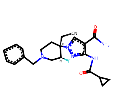 N#CC[C@]1(n2cc(C(N)=O)c(NC(=O)C3CC3)n2)CCN(Cc2ccccc2)C[C@@H]1F